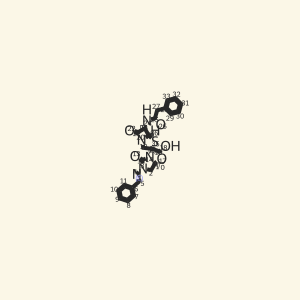 C[C@@H]1CN(/N=C/c2ccccc2)C(=O)N1[C@]1(C(=O)O)CN2C(=O)[C@@H](NC(=O)Cc3ccccc3)[C@H]2S1